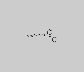 CNCCCCCOc1ccccc1Oc1ccccc1